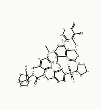 C=C/C(Cl)=C(C[C@H](OC(=O)[C@@H]1CCCN1S(=O)(=O)c1ccc(CN(C(=O)O[C@H]2CN3CCC2CC3)c2ccccc2F)cc1)c1ccc(OC)c(OC)c1)\C(Cl)=C/C